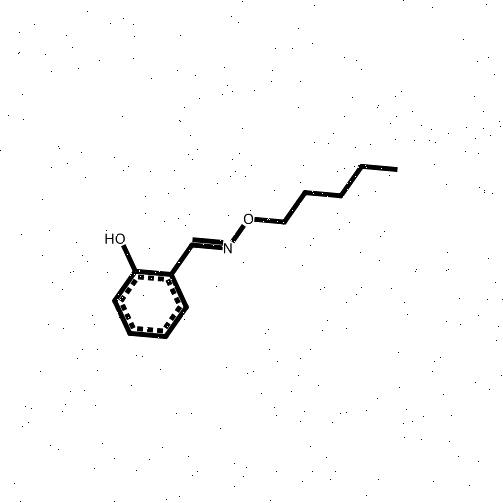 CCCCCON=Cc1ccccc1O